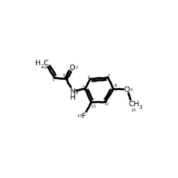 C=CC(=O)Nc1ccc(OC)cc1F